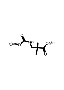 COC(=O)C(C)(C)CNC(=O)OC(C)(C)C